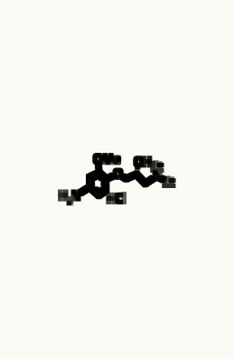 CCN(CC)C[C@@H](O)COc1ccc(N)cc1OC.Cl